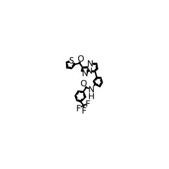 O=C(Nc1cccc(-c2ccnc3c(C(=O)c4cccs4)cnn23)c1)c1cccc(C(F)(F)F)c1